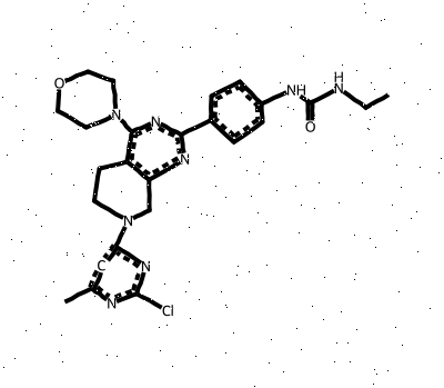 CCNC(=O)Nc1ccc(-c2nc3c(c(N4CCOCC4)n2)CCN(c2cc(C)nc(Cl)n2)C3)cc1